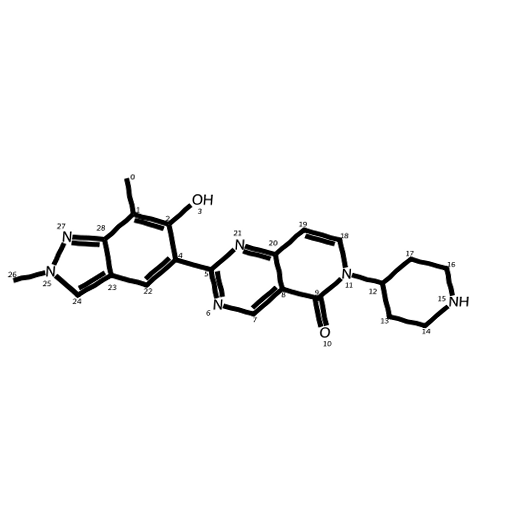 Cc1c(O)c(-c2ncc3c(=O)n(C4CCNCC4)ccc3n2)cc2cn(C)nc12